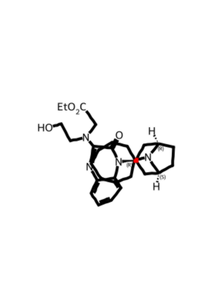 CCOC(=O)CN(CCO)c1nc2ccccc2n([C@H]2C[C@H]3CC[C@@H](C2)N3C2CCCCCCC2)c1=O